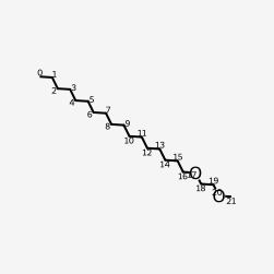 CCCCCCCCCCCCCCCCCOCCOC